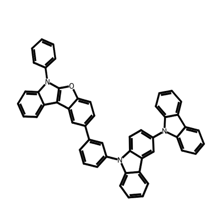 c1ccc(-n2c3ccccc3c3c4cc(-c5cccc(-n6c7ccccc7c7cc(-n8c9ccccc9c9ccccc98)ccc76)c5)ccc4oc32)cc1